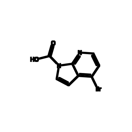 O=C(O)n1ccc2c(Br)ccnc21